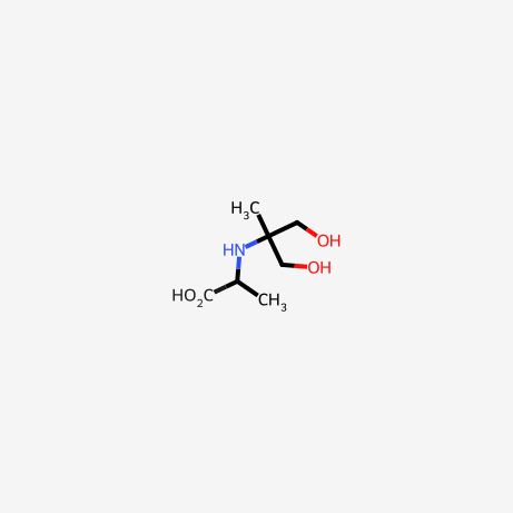 CC(NC(C)(CO)CO)C(=O)O